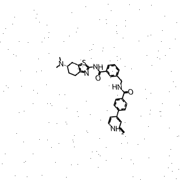 C=C/C=C(\C=C/N)c1ccc(C(=O)NCc2cccc(C(=O)Nc3nc4c(s3)C[C@@H](N(C)C)CC4)c2)cc1